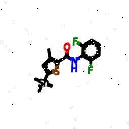 Cc1c[c]([Sn]([CH3])([CH3])[CH3])sc1C(=O)Nc1c(F)cccc1F